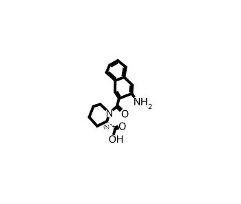 Nc1cc2ccccc2cc1C(=O)N1CCCC[C@H]1C(=O)O